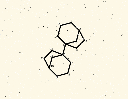 C1CC2CCC(C34CCCC(CC3)C4)(C1)C2